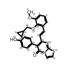 COc1cccc(/C=C/c2nc3sccn3c(=O)c2-c2ccc(O)cc2)c1OCC1CC1